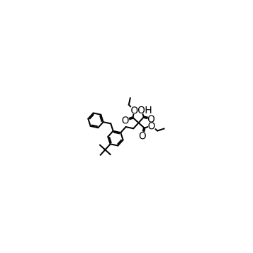 CCOC(=O)C(CCc1ccc(C(C)(C)C)cc1Cc1ccccc1)(C(=O)O)C(=O)OCC